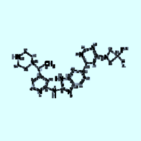 CC(c1ccnc(Nc2nc3ccc(-c4cc(N5CC(F)(F)C5)ncn4)cc3[nH]2)c1)N1CCNCC1